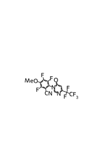 COc1c(F)c(F)c(-n2cnc(C(F)(F)C(F)(F)F)cc2=O)c(C#N)c1F